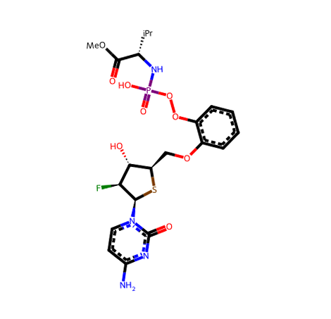 COC(=O)[C@@H](NP(=O)(O)OOc1ccccc1OC[C@H]1S[C@@H](n2ccc(N)nc2=O)[C@@H](F)[C@@H]1O)C(C)C